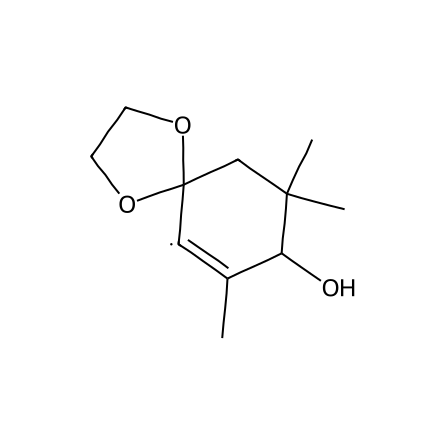 CC1=[C]C2(CC(C)(C)C1O)OCCO2